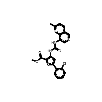 COC(=O)c1sc(-c2ccccc2Cl)cc1NC(=O)Nc1cncc2ccc(C)nc12